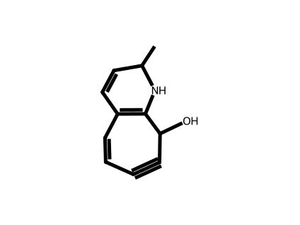 CC1C=CC2=C(N1)C(O)C#CC=C2